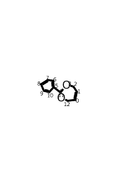 C1=CCOC(c2ccccc2)OC1